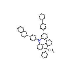 CC1(c2ccccc2)c2ccccc2-c2c(N(c3ccc(-c4ccc5ccccc5c4)cc3)c3cccc(-c4ccc(-c5ccccc5)cc4)c3)cccc21